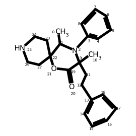 CC1N(c2ccccc2)C(C)(CCc2ccccc2)C(=O)OC12CCNCC2